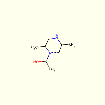 CC1CN(C(C)O)C(C)CN1